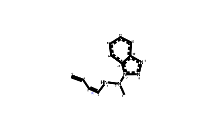 C=C/C=C\NN(C)n1nnc2ccccc21